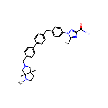 Cc1nc(C(N)=O)nn1-c1ccc(Cc2ccc(-c3ccc(CN4C[C@@H]5CCN(C)[C@@H]5C4)cc3)cc2)cc1